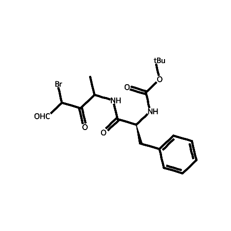 CC(NC(=O)[C@H](Cc1ccccc1)NC(=O)OC(C)(C)C)C(=O)C(Br)C=O